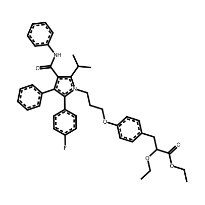 CCOC(=O)C(Cc1ccc(OCCCn2c(-c3ccc(F)cc3)c(-c3ccccc3)c(C(=O)Nc3ccccc3)c2C(C)C)cc1)OCC